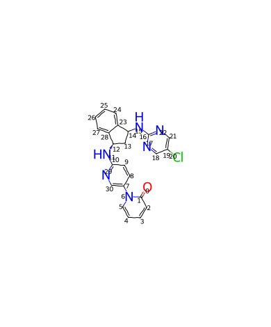 O=c1ccccn1-c1ccc(N[C@@H]2CC(Nc3ncc(Cl)cn3)c3ccccc32)nc1